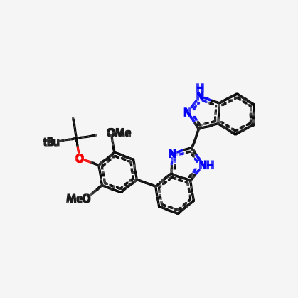 COc1cc(-c2cccc3[nH]c(-c4n[nH]c5ccccc45)nc23)cc(OC)c1OC(C)(C)C(C)(C)C